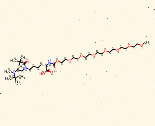 COCCOCCOCCOCCOCCOCCOCCOC(=O)N[C@@H](CCCCN(CCN(C)C(C)(C)C)C(=O)C(C)(C)C)C(=O)O